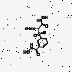 CCCCCCC(C(=O)NO)S(=O)(=O)c1cccc(C(=O)NO)c1